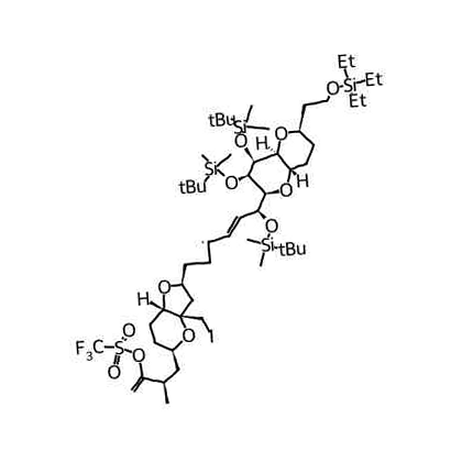 C=C(OS(=O)(=O)C(F)(F)F)[C@H](C)C[C@H]1CC[C@@H]2O[C@@H](CC[CH]/C=C/[C@H](O[Si](C)(C)C(C)(C)C)[C@@H]3O[C@H]4CC[C@H](CCO[Si](CC)(CC)CC)O[C@@H]4[C@H](O[Si](C)(C)C(C)(C)C)[C@@H]3O[Si](C)(C)C(C)(C)C)C[C@]2(CI)O1